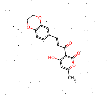 Cc1cc(O)c(C(=O)C=Cc2ccc3c(c2)OCCO3)c(=O)o1